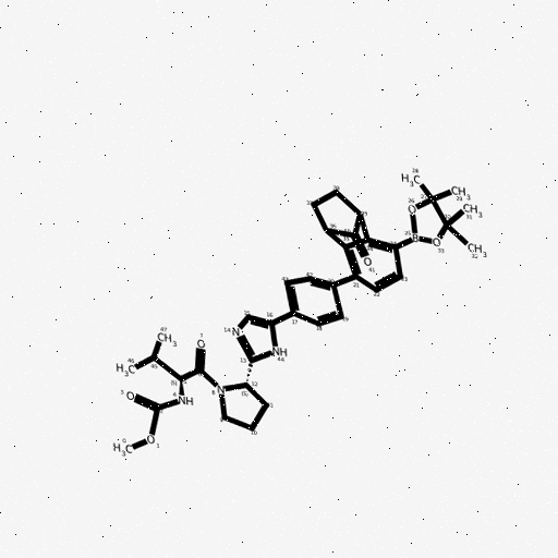 COC(=O)N[C@H](C(=O)N1CCC[C@H]1c1ncc(-c2ccc(-c3ccc(B4OC(C)(C)C(C)(C)O4)c4c3C3CCC4C3=O)cc2)[nH]1)C(C)C